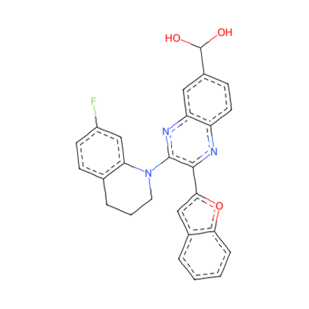 OC(O)c1ccc2nc(-c3cc4ccccc4o3)c(N3CCCc4ccc(F)cc43)nc2c1